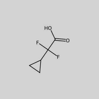 O=C(O)C(F)(F)C1CC1